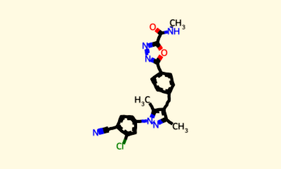 CNC(=O)c1nnc(-c2ccc(Cc3c(C)nn(-c4ccc(C#N)c(Cl)c4)c3C)cc2)o1